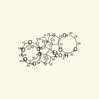 CCC(C12CCC(C1)C1=C2OCCOCCCO1)(C12CCC(C1)C1=C2OCCOCCCO1)C12CC(CC1C(=O)O)C1=C2OCCOCCCO1